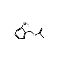 C=C(C)OCc1ccccc1N